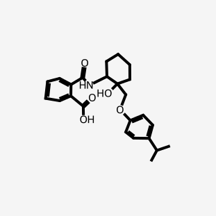 CC(C)c1ccc(OCC2(O)CCCCC2NC(=O)c2ccccc2C(=O)O)cc1